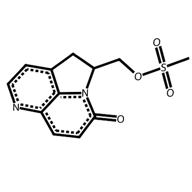 CS(=O)(=O)OCC1Cc2ccnc3ccc(=O)n1c23